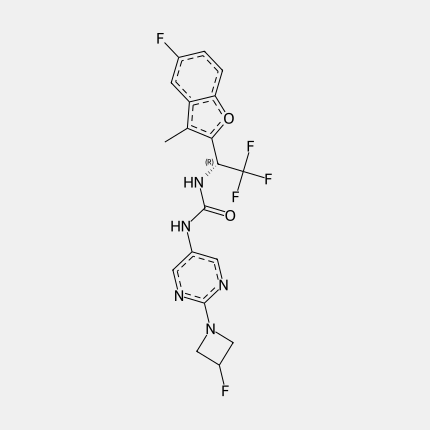 Cc1c([C@@H](NC(=O)Nc2cnc(N3CC(F)C3)nc2)C(F)(F)F)oc2ccc(F)cc12